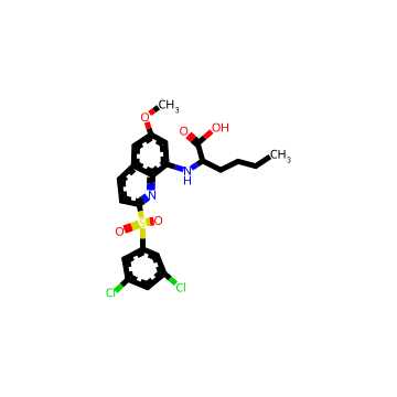 CCCCC(Nc1cc(OC)cc2ccc(S(=O)(=O)c3cc(Cl)cc(Cl)c3)nc12)C(=O)O